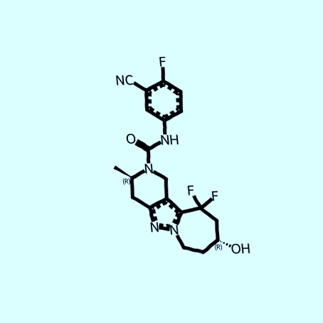 C[C@@H]1Cc2nn3c(c2CN1C(=O)Nc1ccc(F)c(C#N)c1)C(F)(F)C[C@H](O)CC3